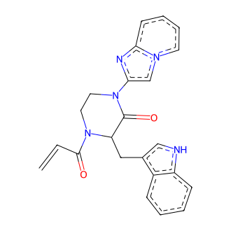 C=CC(=O)N1CCN(c2cn3ccccc3n2)C(=O)C1Cc1c[nH]c2ccccc12